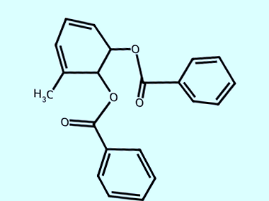 CC1=CC=CC(OC(=O)c2ccccc2)C1OC(=O)c1ccccc1